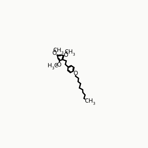 CCCCCCCCCCOc1ccc(CCc2c(OC)cc(OC)cc2OC)cc1